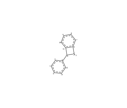 c1ccc([C]2Sc3ccccc32)cc1